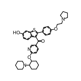 O=C(c1ccc(OC2CCCCC2N2CCCCC2)nc1)c1c(-c2ccc(OCCN3CCCC3)cc2)sc2cc(O)ccc12